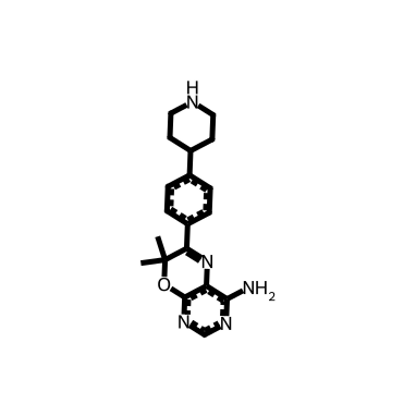 CC1(C)Oc2ncnc(N)c2N=C1c1ccc(C2CCNCC2)cc1